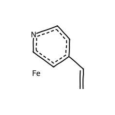 C=Cc1ccncc1.[Fe]